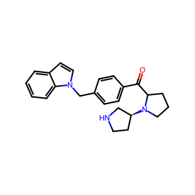 O=C(c1ccc(Cn2ccc3ccccc32)cc1)C1CCCN1[C@H]1CCNC1